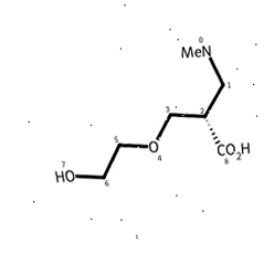 CNC[C@@H](COCCO)C(=O)O